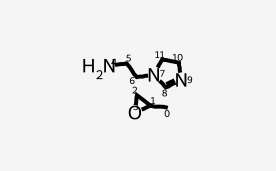 CC1CO1.NCCN1C=NCC1